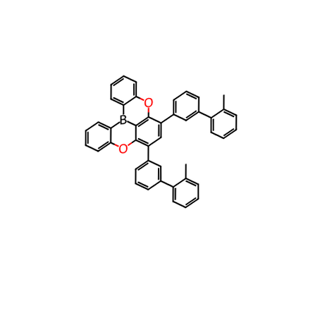 Cc1ccccc1-c1cccc(-c2cc(-c3cccc(-c4ccccc4C)c3)c3c4c2Oc2ccccc2B4c2ccccc2O3)c1